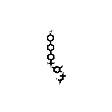 CCCC1CCC(C2CCC(C3CCC(C(F)(F)Oc4ccc(OC(F)(F)C=C(F)F)c(F)c4)CC3)CC2)CC1